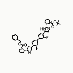 CC(C)(C)OC(=O)N1CCC[C@H]1c1ncc(-c2ccc(-c3ccc(C4=CN=C([C@@H]5CCCN5C(=O)OCc5ccccc5)C4)c(F)c3)cc2F)[nH]1